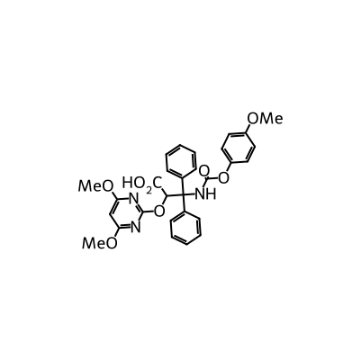 COc1ccc(OC(=O)NC(c2ccccc2)(c2ccccc2)C(Oc2nc(OC)cc(OC)n2)C(=O)O)cc1